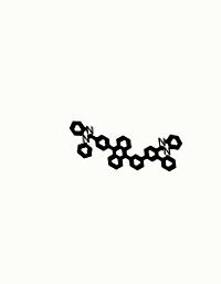 c1ccc(-n2c(-c3ccc(-c4c5ccccc5c(-c5cccc(-c6ccc7c(c6)c6ccccc6n6c8ccccc8nc76)c5)c5ccccc45)cc3)nc3ccccc32)cc1